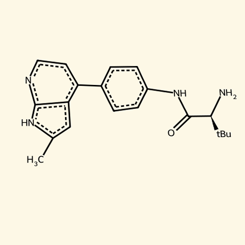 Cc1cc2c(-c3ccc(NC(=O)[C@@H](N)C(C)(C)C)cc3)ccnc2[nH]1